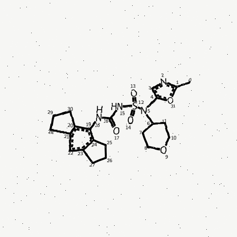 Cc1ncc(N(C2CCOCC2)S(=O)(=O)NC(=O)Nc2c3c(cc4c2CCC4)CCC3)o1